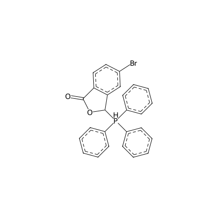 O=C1OC([PH](c2ccccc2)(c2ccccc2)c2ccccc2)c2cc(Br)ccc21